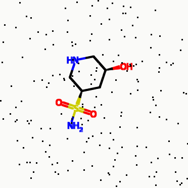 NS(=O)(=O)[C@H]1CNC[C@@H](O)C1